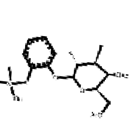 CC(=O)OC[C@H]1OC(Oc2ccccc2O[Si](C)(C)C(C)(C)C)[C@H](C)[C@@H](C)[C@H]1OC(C)=O